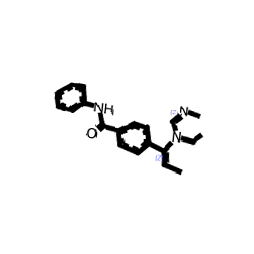 C/C=C(/c1ccc(C(=O)Nc2ccccc2)cc1)N(/C=N\C)CC